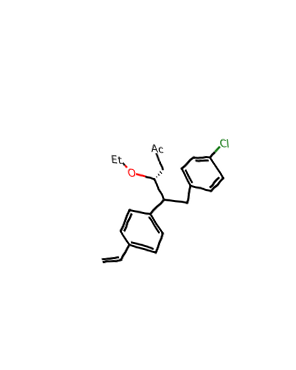 C=Cc1ccc(C(Cc2ccc(Cl)cc2)[C@@H](CC(C)=O)OCC)cc1